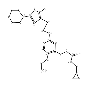 Cc1sc(N2CCOCC2)nc1CCOc1ccc(CCC(=O)O)c(CNC(=O)OCC2CC2)c1